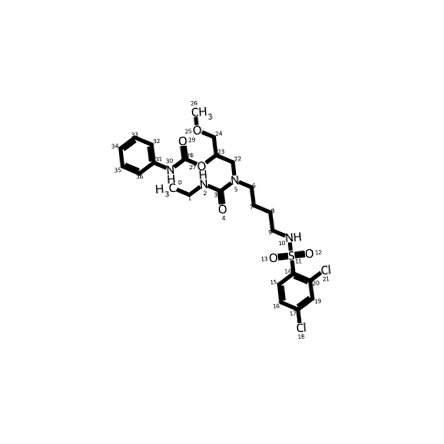 CCNC(=O)N(CCCCNS(=O)(=O)c1ccc(Cl)cc1Cl)CC(COC)OC(=O)Nc1ccccc1